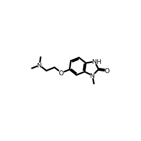 CN(C)CCOc1ccc2[nH]c(=O)n(C)c2c1